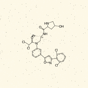 CC(C)[C@@H](CN(C(=O)C(Cl)Cl)c1cccc(-c2cc(-c3c(Cl)cccc3Cl)no2)c1)NC(=O)C1CC(O)CN1